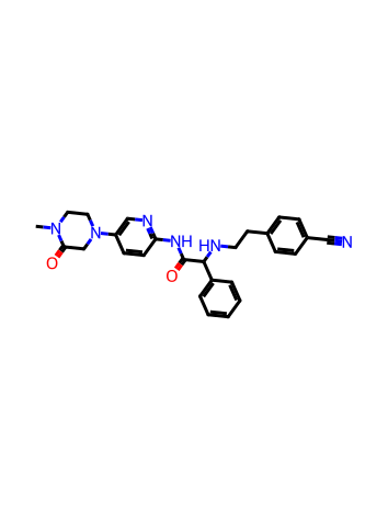 CN1CCN(c2ccc(NC(=O)C(NCCc3ccc(C#N)cc3)c3ccccc3)nc2)CC1=O